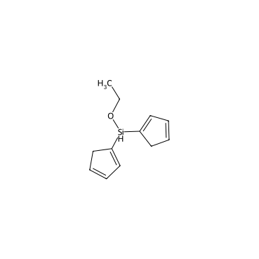 CCO[SiH](C1=CC=CC1)C1=CC=CC1